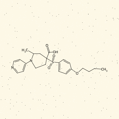 CCCCOc1ccc(S(=O)(=O)C2(C(=O)O)CCN(c3ccncc3)C(C)C2)cc1